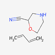 C=CC=C.N#CC1CNCCO1